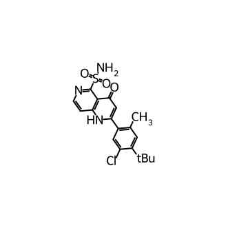 Cc1cc(C(C)(C)C)c(Cl)cc1-c1cc(=O)c2c(S(N)(=O)=O)nccc2[nH]1